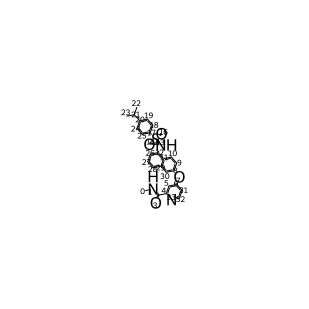 CNC(=O)c1cc(Oc2ccc3c(NS(=O)(=O)c4ccc(C(C)C)cc4)cccc3c2)ccn1